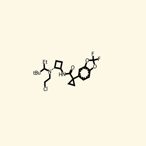 CCC(N(CCCl)[C@@H]1CCC1NC(=O)C1(c2ccc3c(c2)OC(F)(F)O3)CC1)C(C)(C)C